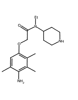 CCN(C(=O)COc1cc(C)c(N)c(C)c1C)C1CCNCC1